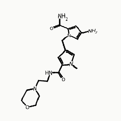 Cn1cc(Cn2cc(N)cc2C(N)=O)cc1C(=O)NCCN1CCOCC1